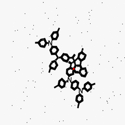 C=C(c1ccc(C(c2ccc(C)cc2)c2ccc(N(c3ccc(C)cc3)c3ccc(C)cc3)cc2)cc1)C1(C(=C)c2ccc(N(c3ccc(C)cc3)c3ccc(N(c4ccc(C)cc4)c4ccc(C)cc4)cc3)cc2)c2cc(C)ccc2-c2c1ccc1ccccc21